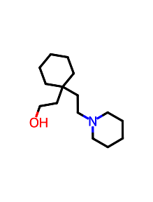 OCCC1(CCN2CCCCC2)CCCCC1